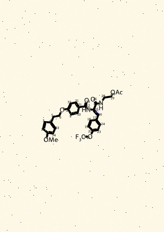 COc1ccc(CCOc2ccc(C(=O)N/C(=C\c3ccc(OC(F)(F)F)cc3)C(=O)NCCOC(C)=O)cc2)cc1